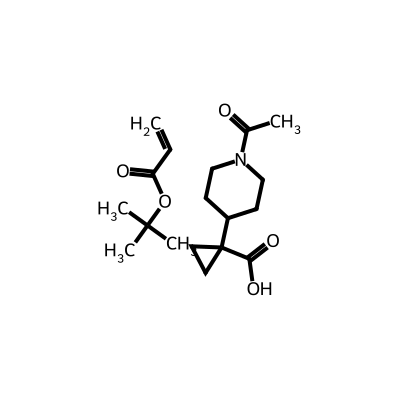 C=CC(=O)OC(C)(C)C.CC(=O)N1CCC(C2(C(=O)O)CC2)CC1